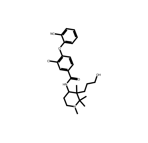 CN1CCC(NC(=O)c2ccc(Oc3ccccc3C#N)c(Cl)c2)C(C)(CCCO)C1(C)C